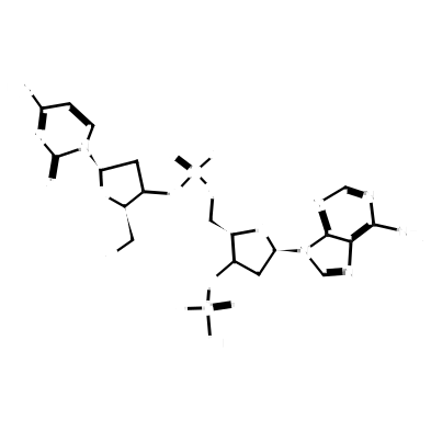 Nc1ccn([C@H]2CC(OP(=O)(S)OC[C@H]3O[C@@H](n4cnc5c(N)ncnc54)CC3OP(=O)(O)S)[C@@H](CO)O2)c(=O)n1